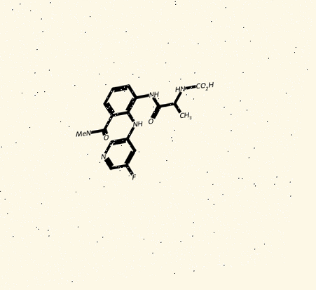 CNC(=O)c1cccc(NC(=O)C(C)NC(=O)O)c1Nc1cncc(F)c1